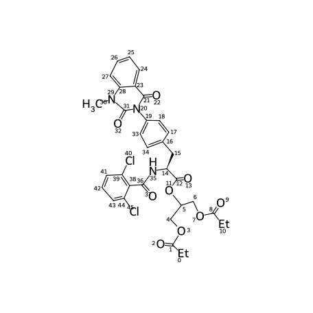 CCC(=O)OCC(COC(=O)CC)OC(=O)[C@H](Cc1ccc(-n2c(=O)c3ccccc3n(C)c2=O)cc1)NC(=O)c1c(Cl)cccc1Cl